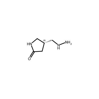 NNC[C@H]1CNC(=O)C1